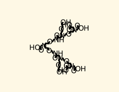 O=C(O)CN(CCOCCNC(=O)CN(CCOCCO)CCOCCN(CC(=O)O)CC(=O)O)CCOCCNC(=O)CN(CCOCCO)CCOCCN(CC(=O)O)CC(=O)O